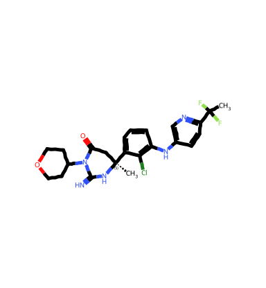 CC(F)(F)c1ccc(Nc2cccc([C@]3(C)CC(=O)N(C4CCOCC4)C(=N)N3)c2Cl)cn1